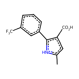 Cc1cc(C(=O)O)c(-c2cccc(C(F)(F)F)c2)[nH]1